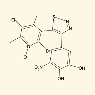 Cc1c(Cl)c(C)[n+]([O-])c(Br)c1-c1snnc1-c1cc(O)c(O)c([N+](=O)[O-])c1